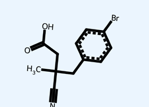 CC(C#N)(CC(=O)O)Cc1ccc(Br)cc1